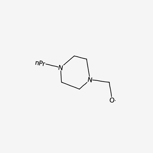 CCCN1CCN(C[O])CC1